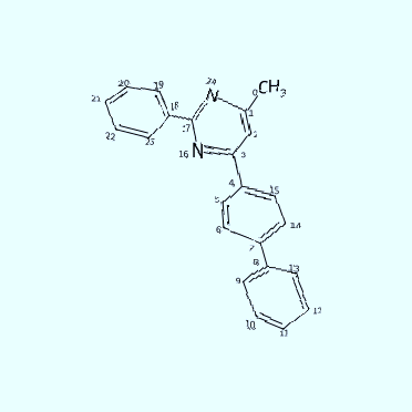 Cc1cc(-c2ccc(-c3ccccc3)cc2)nc(-c2ccccc2)n1